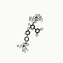 CC(C)(C)OC(=O)N1CCN(c2ccc(Oc3nc(-c4cc(Cl)cc(Cl)c4)cc(CO[Si](C)(C)C(C)(C)C)c3F)cn2)CC1